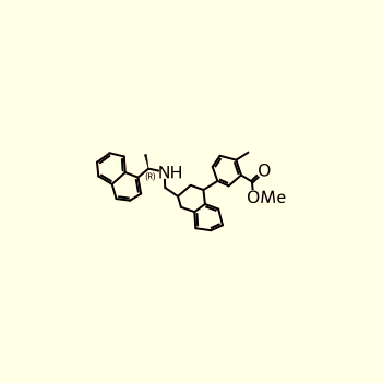 COC(=O)c1cc(C2CC(CN[C@H](C)c3cccc4ccccc34)Cc3ccccc32)ccc1C